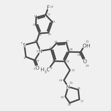 Cc1c(N2C(=O)CSC2c2ccc(F)cc2)ccc(C(=O)O)c1CCN1CCCC1